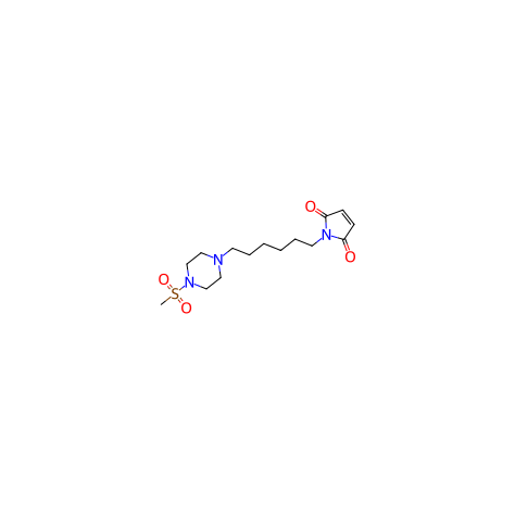 CS(=O)(=O)N1CCN(CCCCCCN2C(=O)C=CC2=O)CC1